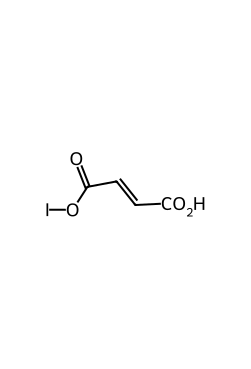 O=C(O)/C=C/C(=O)OI